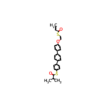 C=CC(=O)S/C=C\Oc1ccc(-c2ccc(-c3ccc(SC(=O)C(=C)C)cc3)cc2)cc1